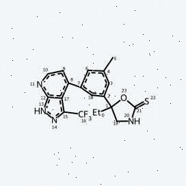 CCC1(c2cc(C)cc(-c3ccnc4[nH]nc(C(F)(F)F)c34)c2)CNC(=S)O1